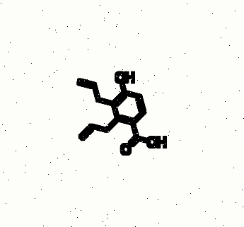 C=CCc1c(O)ccc(C(=O)O)c1CC=C